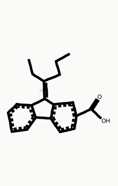 CCC/C(CC)=C1/c2ccccc2-c2ccc(C(=O)O)cc21